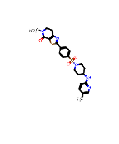 O=C(O)N1CCc2nc(-c3ccc(S(=O)(=O)N4CCC(Nc5ccc(C(F)(F)F)cn5)CC4)cc3)sc2C1=O